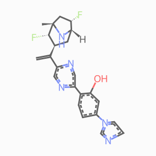 C=C(c1cnc(-c2ccc(-n3ccnc3)cc2O)cn1)[C@@H]1C[C@@H]2N[C@@](C)(C[C@@H]2F)[C@H]1F